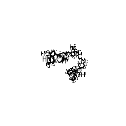 CN(CCn1c(=O)oc2cc(CNC[C@@H](O)c3ccc(O)c4[nH]c(=O)ccc34)ccc21)C1CCC(OC(=O)C(O)(c2cccs2)c2cccs2)CC1.F.F